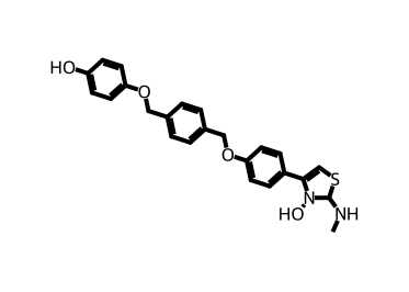 CNC1SC=C(c2ccc(OCc3ccc(COc4ccc(O)cc4)cc3)cc2)N1O